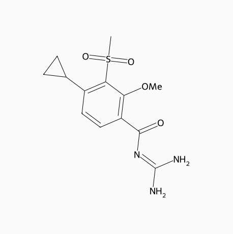 COc1c(C(=O)N=C(N)N)ccc(C2CC2)c1S(C)(=O)=O